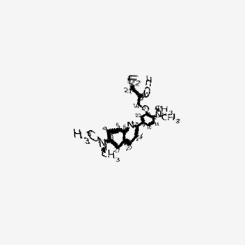 CN(C)c1ccc2nc(-c3ccc(N(C)C)c(OCC(O)CF)c3)ccc2c1